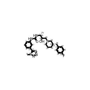 C[C@@H](NC(=O)Nc1cccc(-c2nnnn2C)c1)[C@H](O)CN1CCC[C@@H](Cc2ccc(F)cc2)C1